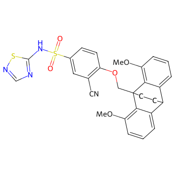 COc1cccc2c1C1(COc3ccc(S(=O)(=O)Nc4ncns4)cc3C#N)CCC2c2cccc(OC)c21